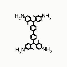 Cc1cc(N)ccc1C(c1ccc(-c2ccc(C(c3ccc(N)cc3C)c3ccc(N)cc3C)cc2)cc1)c1ccc(N)cc1C